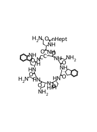 CCCCCCCC(=O)N[C@H](CCN)C(=O)N[C@H]1CCNC(=O)[C@H](Cc2c[nH]c3ccccc23)NC(=O)[C@H](CCN)NC(=O)[C@H](CCN)NC(=O)[C@H](CC(C)C)NC(=O)[C@@H](C2Cc3ccccc3C2)NC(=O)[C@H](CCN)NC1=O